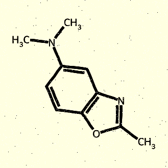 Cc1nc2cc(N(C)C)ccc2o1